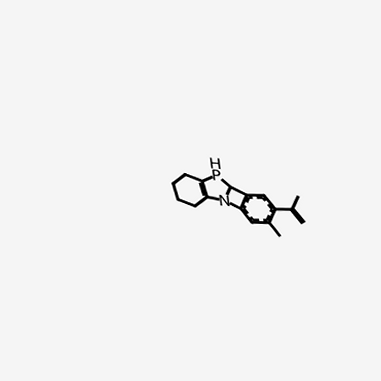 C=C(C)c1cc2c(cc1C)N1C3=C(CCCC3)PC21